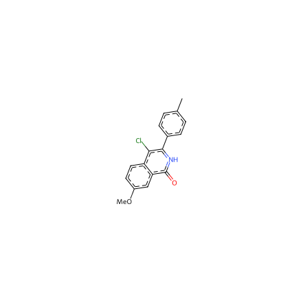 COc1ccc2c(Cl)c(-c3ccc(C)cc3)[nH]c(=O)c2c1